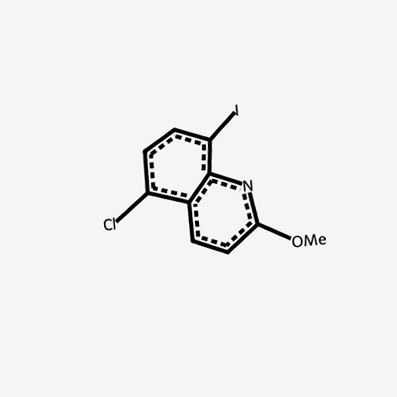 COc1ccc2c(Cl)ccc(I)c2n1